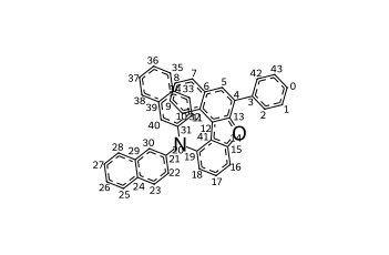 c1ccc(-c2cc3ccccc3c3c2oc2cccc(N(c4ccc5ccccc5c4)c4ccc5ccccc5c4)c23)cc1